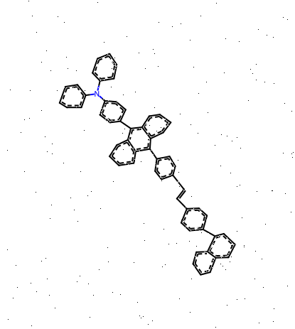 C(=C\c1ccc(-c2c3ccccc3c(-c3ccc(N(c4ccccc4)c4ccccc4)cc3)c3ccccc23)cc1)/c1ccc(-c2cccc3ccccc23)cc1